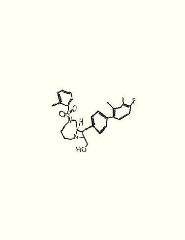 Cc1ccccc1S(=O)(=O)N1CCCCN2C(CO)C(c3ccc(-c4ccc(F)c(C)c4C)cc3)[C@@H]2C1